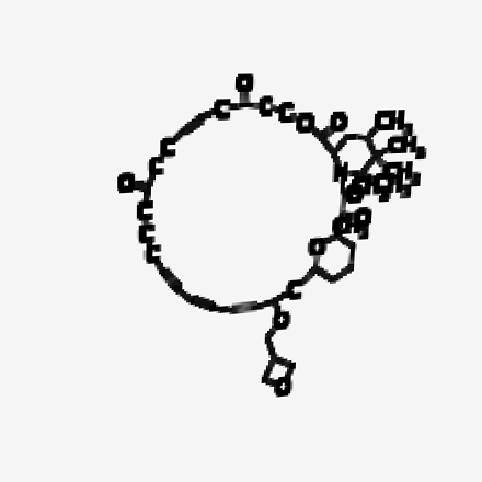 CC1CC2C(=O)OCCC(=O)CC=CCCC(=O)CCCC=CC=CC=CC(OCC3COC3)CC3CCCC(C)(O3)C(=O)C(=O)N2C(C)(C)C1(C)C